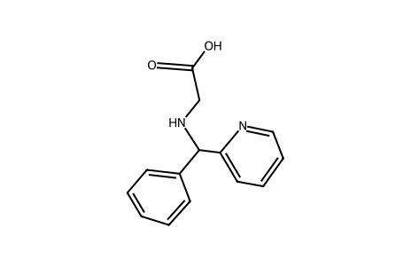 O=C(O)CNC(c1ccccc1)c1ccccn1